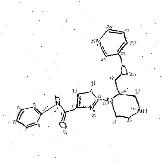 O=C(Nc1ccccc1)c1csc(N2CCNCC2COc2cccnc2)n1